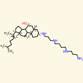 CC(C)CCC[C@@H](C)[C@H]1CCC2C3C(CC[C@@]21C)[C@@]1(C)CC[C@@H](NCCCNCCCCNCCCN)C[C@H]1C[C@H]3O